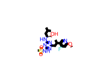 COc1cc(F)c(C(C)Cc2nc(N[C@@H](CO)CC(C)C)nc(NS(C)(=O)=O)n2)cn1